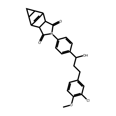 COc1ccc(CCC(O)c2ccc(N3C(=O)C4C5C=CC(C6CC56)C4C3=O)cc2)cc1Cl